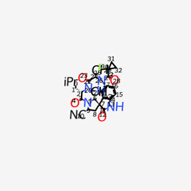 CC(C)C[C@@H](C(=O)N1C[C@]2(C[C@H]1C#N)C(=O)Nc1ccccc12)N(C)C(=O)[C@H](C)NC(=O)C1(F)CC1